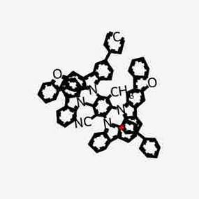 Cc1c(-n2c3ccc(-c4ccccc4)cc3c3cc4oc5ccccc5c4cc32)c(-n2c3ccccc3c3ccccc32)c(C#N)c(-n2c3ccccc3c3ccccc32)c1-n1c2ccc(-c3ccccc3)cc2c2cc3oc4ccccc4c3cc21